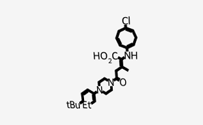 CC/C=C(\C=C/CC(C)(C)C)N1CCN(C(=O)C/C(C)=C(/N/C2=C/C/C=C(/Cl)CC=C2)C(=O)O)CC1